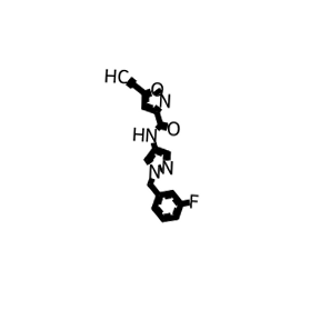 C#Cc1cc(C(=O)Nc2cnn(Cc3cccc(F)c3)c2)no1